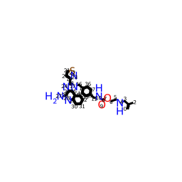 C=C(C)CNCCOC(=O)NCc1ccc(Cn2c(-c3ccsn3)nc3c(N)nc4ccccc4c32)cc1